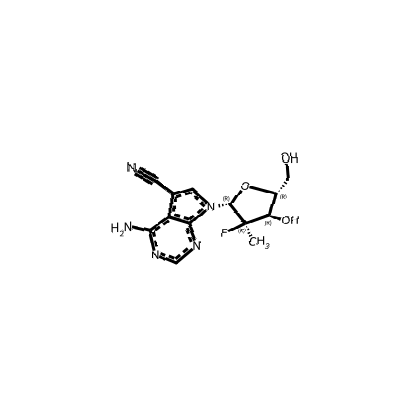 C[C@@]1(F)[C@H](O)[C@@H](CO)O[C@H]1n1cc(C#N)c2c(N)ncnc21